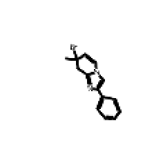 CC1(Br)C=Cn2cc(-c3ccccc3)nc2C1